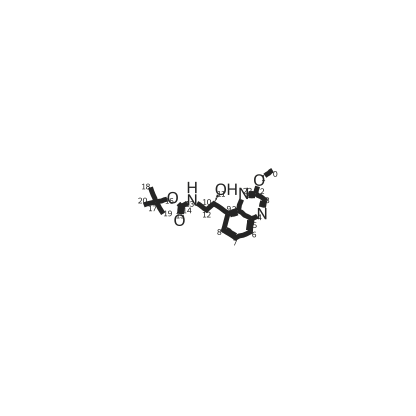 COc1cnc2cccc([C@@H](O)CNC(=O)OC(C)(C)C)c2n1